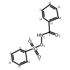 O=C(NOS(=O)(=O)c1ccccc1)c1ccccc1